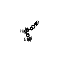 CCn1ncnc1-c1ccc(-c2n[nH]c3ncc(-c4ccc5c(c4)CC[C@@H](N4C6COCC4C6)CC5)cc23)cc1